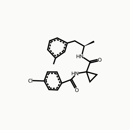 Cc1cccc(C[C@@H](C)NC(=O)C2(NC(=O)c3ccc(Cl)cc3)CC2)c1